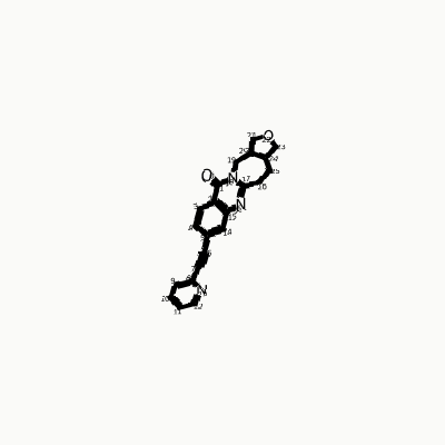 O=c1c2ccc(C#Cc3ccccn3)cc2nc2n1CC1COCC1CC2